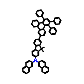 CC1(C)c2cc(-c3ccc4c(c3)c3c(c5c(-c6ccccc6)cc(-c6ccccc6)c(-c6ccccc6)c54)C=CCC3)ccc2-c2ccc(N(c3ccc4ccccc4c3)c3ccc4ccccc4c3)cc21